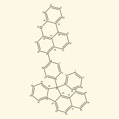 c1ccc(C2(c3ccc(-c4ccc5c6c(cccc46)-c4ccccc4O5)cc3)c3ccccc3-c3ccc4ccccc4c32)cc1